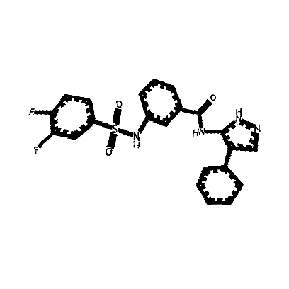 O=C(Nc1[nH]ncc1-c1ccccc1)c1cccc(NS(=O)(=O)c2ccc(F)c(F)c2)c1